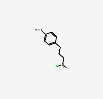 COc1ccc(CCC[SiH](F)F)cc1